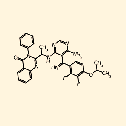 CC(C)Oc1ccc(C(=N)c2c(N)ncnc2NC(C)c2nc3ccccc3c(=O)n2-c2ccccc2)c(F)c1F